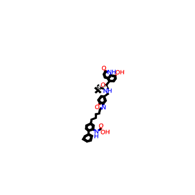 CC(C)(C)[Si](C)(C)O[C@H](CNCc1ccc2oc(CCCCc3ccc(-c4ccccc4)c(NC(=O)O)c3)nc2c1)c1ccc(O)c2[nH]c(=O)ccc12